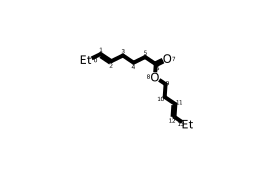 CCC=CCCCC(=O)OCCC=CCC